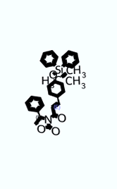 CC(C)(C)[Si](O[C@H]1CC[C@H](/C=C/C(=O)N2C(=O)OC[C@H]2c2ccccc2)CC1)(c1ccccc1)c1ccccc1